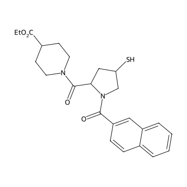 CCOC(=O)C1CCN(C(=O)C2CC(S)CN2C(=O)c2ccc3ccccc3c2)CC1